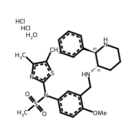 COc1ccc(N(c2nc(C)c(C)s2)S(C)(=O)=O)cc1CN[C@H]1CCCN[C@@H]1c1ccccc1.Cl.Cl.O